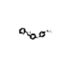 FC(F)(F)Oc1ccc(Oc2ccc(CNc3ccccn3)cc2)cc1